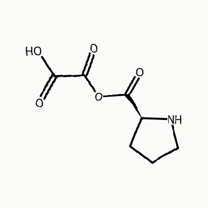 O=C(O)C(=O)OC(=O)[C@@H]1CCCN1